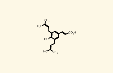 CC(C)=CCc1cc(/C=C/C(=O)O)cc(C/C=C(\C)O)c1O